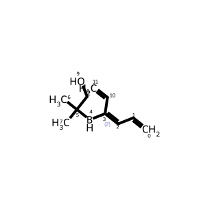 C=C/C=C(/BC(C)(C)CO)C=C